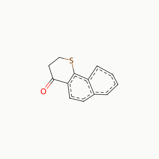 O=C1CCSc2c1ccc1ccccc21